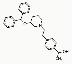 CC(O)c1ccc(CCN2CCCC(OC(c3ccccc3)c3ccccc3)C2)cc1